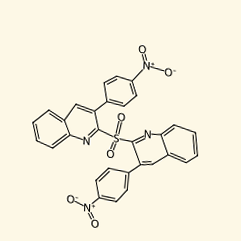 O=[N+]([O-])c1ccc(-c2cc3ccccc3nc2S(=O)(=O)c2nc3ccccc3cc2-c2ccc([N+](=O)[O-])cc2)cc1